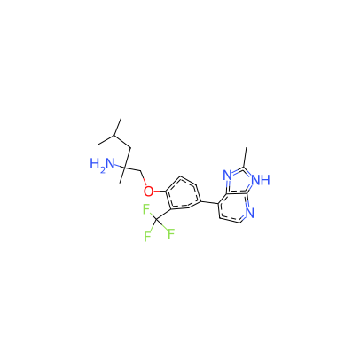 Cc1nc2c(-c3ccc(OCC(C)(N)CC(C)C)c(C(F)(F)F)c3)ccnc2[nH]1